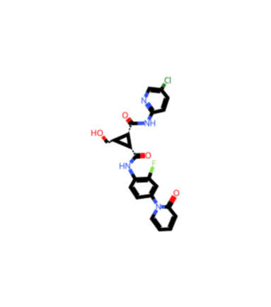 O=C(Nc1ccc(-n2ccccc2=O)cc1F)[C@@H]1[C@H](CO)[C@@H]1C(=O)Nc1ccc(Cl)cn1